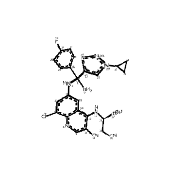 BC(Nc1cc(Cl)c2ncc(C#N)c(N[C@H](CC#N)C(C)(C)C)c2c1)(c1ccc(F)cc1)c1cn(C2CC2)nn1